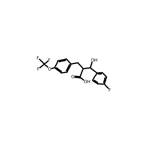 O=C(O)C(Cc1ccc(OC(F)(F)F)cc1)C(O)c1ccc(F)cc1